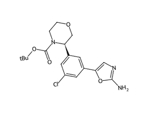 CC(C)(C)OC(=O)N1CCOC[C@H]1c1cc(Cl)cc(-c2cnc(N)o2)c1